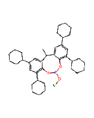 CC1c2cc(C3CCCCC3)cc(C3CCCCC3)c2OP(OCl)Oc2c(C3CCCCC3)cc(C3CCCCC3)cc21